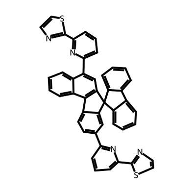 c1cc(-c2ccc3c(c2)C2(c4ccccc4-c4ccccc42)c2cc(-c4cccc(-c5nccs5)n4)c4ccccc4c2-3)nc(-c2nccs2)c1